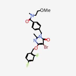 COCCN(C)C(=O)c1ccc(Cn2c(C)nc(OCc3ccc(F)cc3F)c(Br)c2=O)cc1